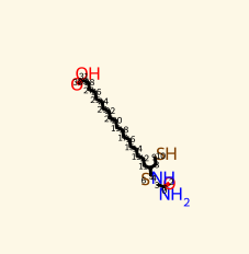 NC(=O)CNC(=S)C(CCS)CCCCCCCCCCCCCCCCCCC(=O)O